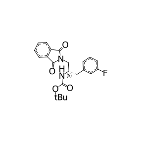 CC(C)(C)OC(=O)N[C@@H](Cc1cccc(F)c1)CN1C(=O)c2ccccc2C1=O